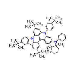 CC(C)(C)c1ccc(N2c3cc4c(cc3B3c5c2cc(C(C)(C)C)cc5-n2c5ccc(C(C)(C)C)cc5c5cc(C(C)(C)C)cc3c52)C2(C)CCCCC2(C)N4c2ccccc2)cc1